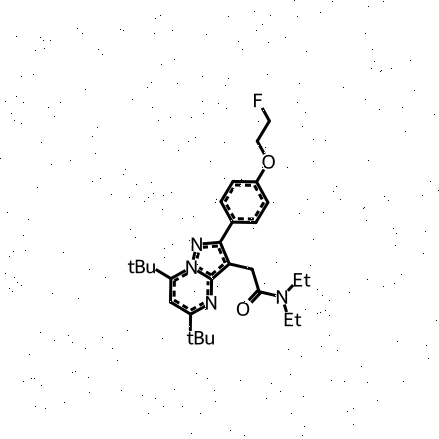 CCN(CC)C(=O)Cc1c(-c2ccc(OCCF)cc2)nn2c(C(C)(C)C)cc(C(C)(C)C)nc12